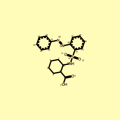 O=C(O)C1CCCCC1NS(=O)(=O)c1ccccc1N=Nc1ccccc1